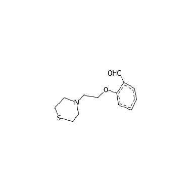 O=Cc1ccccc1OCCN1CCSCC1